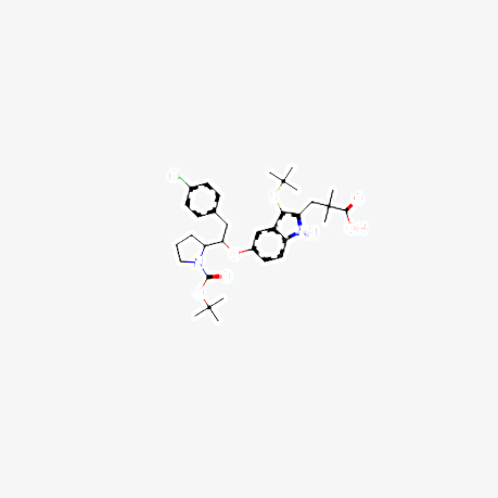 CC(C)(C)OC(=O)N1CCCC1C(Cc1ccc(Cl)cc1)Oc1ccc2[nH]c(CC(C)(C)C(=O)O)c(SC(C)(C)C)c2c1